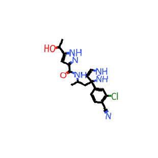 CC(CC1(c2ccc(C#N)c(Cl)c2)C=CNN1)NC(=O)c1cc(C(C)O)[nH]n1